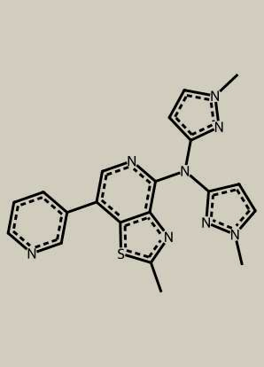 Cc1nc2c(N(c3ccn(C)n3)c3ccn(C)n3)ncc(-c3cccnc3)c2s1